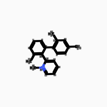 Cc1ccc(-c2cccc(C)c2-c2cccc[n+]2C)c(C)c1